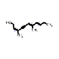 CC/C=C/C(C)=C/C#C/C(C)=C\CO